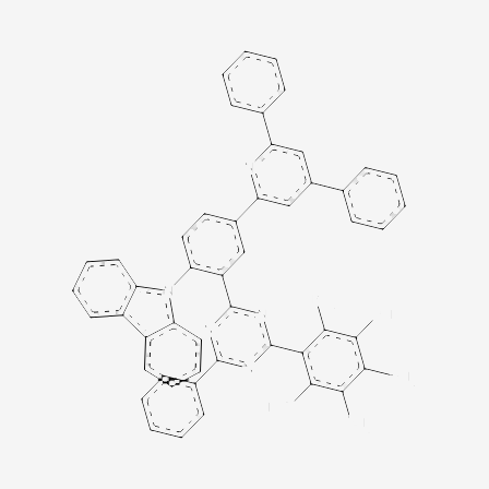 Bc1c(B)c(B)c(-c2nc(-c3ccccc3)nc(-c3cc(-c4cc(-c5ccccc5)cc(-c5ccccc5)n4)ccc3-n3c4ccccc4c4ccccc43)n2)c(B)c1B